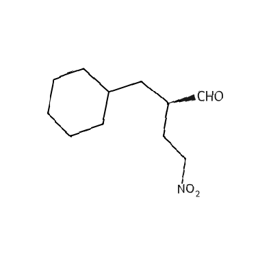 O=C[C@@H](CC[N+](=O)[O-])CC1CCCCC1